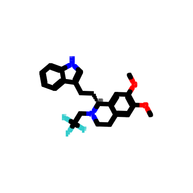 COc1cc2c(cc1OC)[C@@H](CCc1c[nH]c3ccccc13)N(CC(F)(F)F)CC2